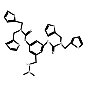 CN(C)NCc1cc(OC(=O)N(Cc2cccs2)Cc2cccs2)cc(OC(=O)N(Cc2cccs2)Cc2cccs2)c1